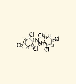 Clc1cc(Cl)c(/N=N/c2c(Cl)cc(Cl)cc2Cl)c(Cl)c1